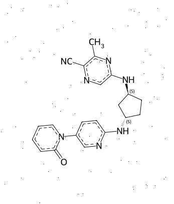 Cc1nc(N[C@H]2CC[C@H](Nc3ccc(-n4ccccc4=O)cn3)C2)cnc1C#N